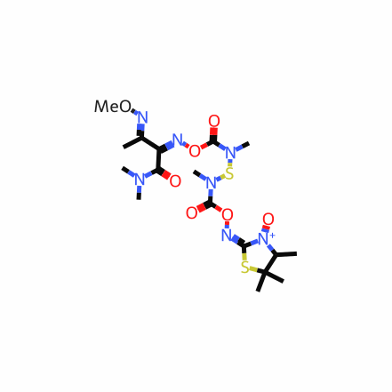 CON=C(C)C(=NOC(=O)N(C)SN(C)C(=O)ON=C1SC(C)(C)C(C)[N+]1=O)C(=O)N(C)C